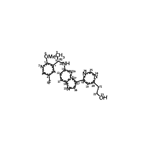 COc1ncc(F)cc1[C@@H](C)Nc1ccc2ncc(-c3cc(CCO)ncn3)n2n1